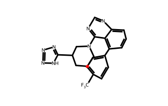 FC(F)(F)c1ccc(-c2cccc3ncnc(N4CCCC(c5nnn[nH]5)C4)c23)cc1